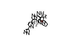 CC(=O)c1c(C2CC3CCC(C2)N3C(N)=O)nc2c(-c3ccc(-c4cnn(C)c4)nc3)cnn2c1N